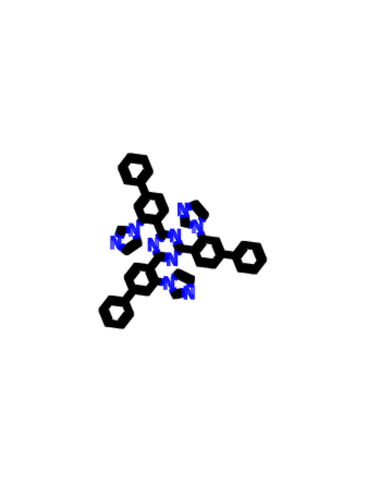 c1ccc(-c2ccc(-c3nc(-c4ccc(-c5ccccc5)cc4-n4ccnc4)nc(-c4ccc(-c5ccccc5)cc4-n4ccnc4)n3)c(-n3ccnc3)c2)cc1